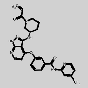 C=CC(=O)N1CCC[C@@H](Nc2n[nH]c3nccc(Oc4cccc(C(=O)Nc5cc(C(F)(F)F)ccn5)c4)c23)C1